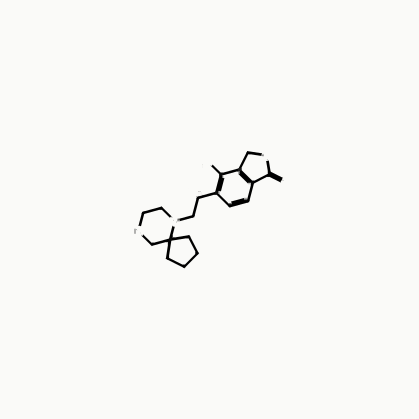 Cc1c([C@@H](O)CN2CCNCC23CCCC3)ccc2c1COC2=O